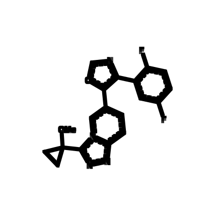 COC1(c2nnc3ccc(-c4ocnc4-c4cc(F)ccc4F)cn23)CC1